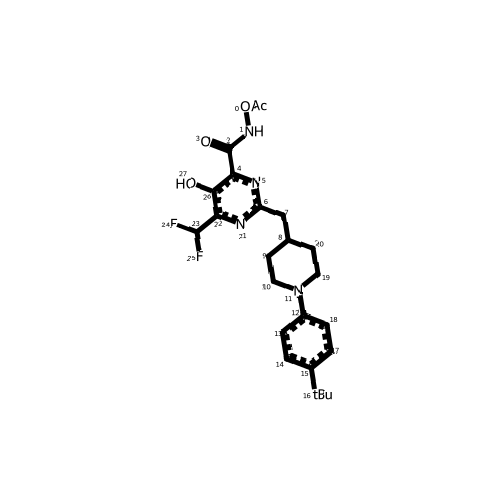 CC(=O)ONC(=O)c1nc(CC2CCN(c3ccc(C(C)(C)C)cc3)CC2)nc(C(F)F)c1O